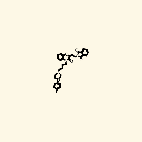 O=C1c2ccccc2C(=O)N1CCC1Oc2ccccc2N(CCCCN2CCN(c3ccc(F)cc3)CC2)C1=O